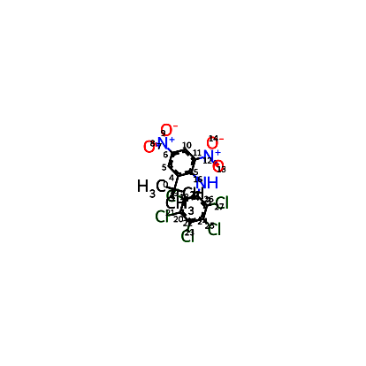 CC(C)(C)c1cc([N+](=O)[O-])cc([N+](=O)[O-])c1Nc1c(Cl)c(Cl)c(Cl)c(Cl)c1Cl